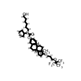 C[C@]12CC[C@@H]3c4ccc(OC(=O)N(CCCCCCO)C5CCSSC5)cc4CC[C@H]3[C@@H]1CC[C@@H]2OCCCOC(C(F)(F)F)(C(F)(F)F)C(F)(F)F